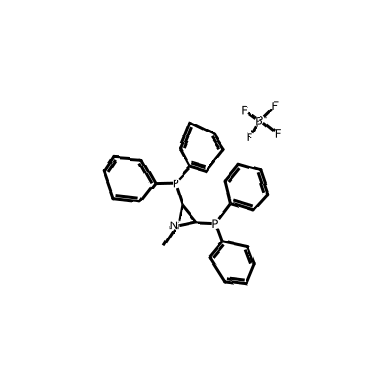 F[B-](F)(F)F.[CH3][Ni]1[CH](P(c2ccccc2)c2ccccc2)[CH]1P(c1ccccc1)c1ccccc1